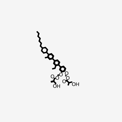 C=C(CO)C(=O)OCOc1cc(-c2ccc(-c3ccc(C4CCC(CCCCCCC)CC4)c(C)c3)cc2CC)ccc1OCOC(=O)C(C)CO